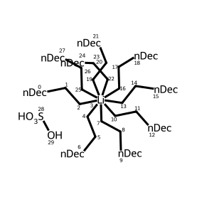 CCCCCCCCCCC[CH2][Li]([CH2]CCCCCCCCCCC)([CH2]CCCCCCCCCCC)([CH2]CCCCCCCCCCC)([CH2]CCCCCCCCCCC)([CH2]CCCCCCCCCCC)([CH2]CCCCCCCCCCC)([CH2]CCCCCCCCCCC)[CH2]CCCCCCCCCCC.O=S(=O)(O)O